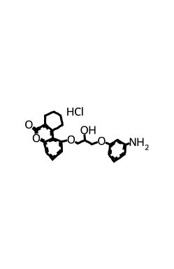 Cl.Nc1cccc(OCC(O)COc2cccc3oc(=O)c4c(c23)CCCC4)c1